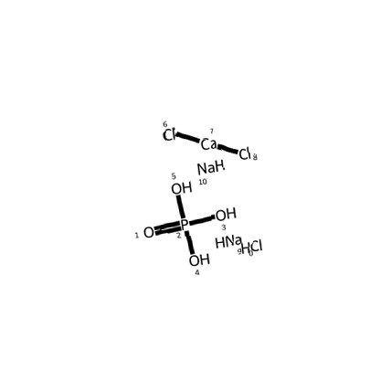 Cl.O=P(O)(O)O.[Cl][Ca][Cl].[NaH].[NaH]